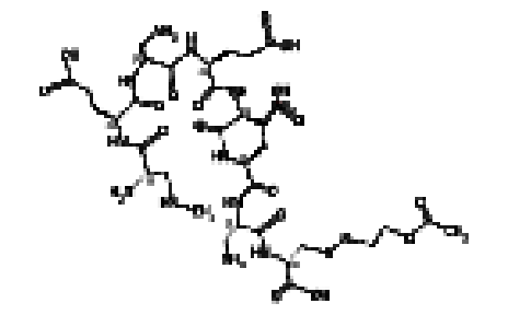 CNC[C@H](N)C(=O)N[C@@H](CCC(=O)O)C(=O)N[C@@H](CN)C(=O)N[C@@H](CCC(=O)O)C(=O)N[C@@H](CN)C(=O)N[C@@H](CCC(=O)O)C(=O)N[C@@H](CN)C(=O)N[C@H](CSSCCOC(C)=O)C(=O)O